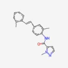 Cc1ccccc1/C=C/c1ccc(NC(=O)c2ccnn2C)c(C)c1